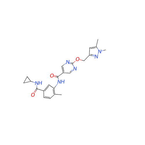 Cc1ccc(C(=O)NC2CC2)cc1NC(=O)c1cnc(OCc2cc(C)n(C)n2)nc1